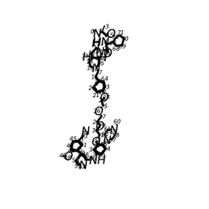 CN[C@@H](C)C(=O)NC(C(=O)N1CC[C@@H]2CCN(CCc3ccc(OCCOCCOCCOc4cc(Nc5cc(-c6cc(C#N)ccc6OC)ccn5)ccc4N4CCN(C)CC4)cc3)C[C@@H]21)C1CCCCC1